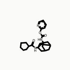 O=C(NC12CC3CC(C1)CC(NC(=O)C1CCCCC1)(C3)C2)Oc1ccccn1